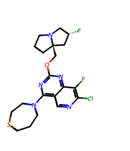 Fc1c(Cl)ncc2c(N3CCCSCC3)nc(OC[C@@]34CCCN3C[C@H](F)C4)nc12